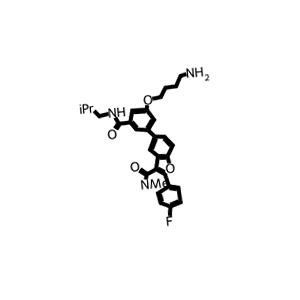 CNC(=O)c1c(-c2ccc(F)cc2)oc2ccc(-c3cc(OCCCCN)cc(C(=O)NCC(C)C)c3)cc12